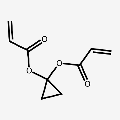 C=CC(=O)OC1(OC(=O)C=C)CC1